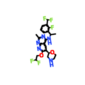 Cc1nc(NC(C)c2cccc(C(F)F)c2F)c2cc([C@@H]3CNCCO3)c(OCC(F)F)nc2n1